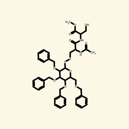 COC(=O)C(CO)NC(=O)C(CSSC1OC(COCc2ccccc2)C(OCc2ccccc2)C(OCc2ccccc2)C1OCc1ccccc1)NC(C)=O